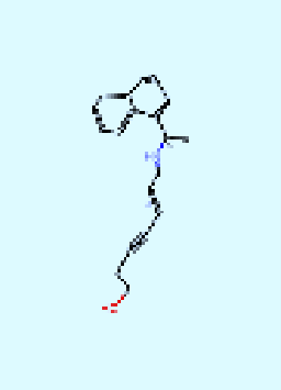 C[C@@H](NC/C=C/C#CCCO)c1cccc2ccccc12